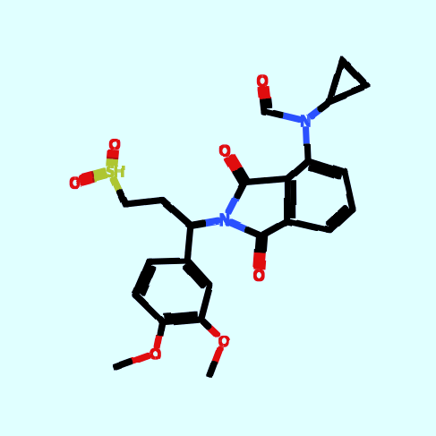 COc1ccc(C(CC[SH](=O)=O)N2C(=O)c3cccc(N(C=O)C4CC4)c3C2=O)cc1OC